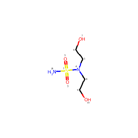 NS(=O)(=O)N(CCO)CCO